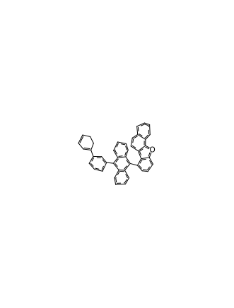 C1=CCCC(c2cccc(-c3c4ccccc4c(-c4cccc5oc6c7ccccc7ccc6c45)c4ccccc34)c2)=C1